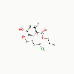 CCCOC(=O)c1ccc(O)cc1C.OCCCCCl